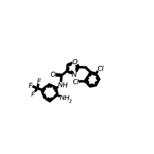 Nc1ccc(C(F)(F)F)cc1NC(=O)c1coc(Cc2c(Cl)cccc2Cl)n1